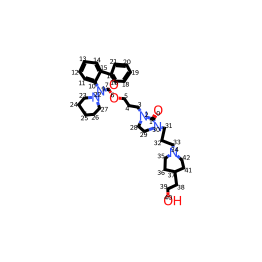 O=C1N(CCCOC(=O)N(c2ccccc2-c2ccccc2)N2CC[CH]CC2)CCN1CCCN1CCC(CCO)CC1